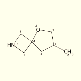 CC1COC2(CNC2)C1